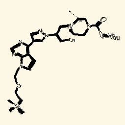 C[C@@H]1CN(C(=O)OC(C)(C)C)CCN1CC(CC#N)n1cc(-c2ncnc3c2ccn3COCC[Si](C)(C)C)cn1